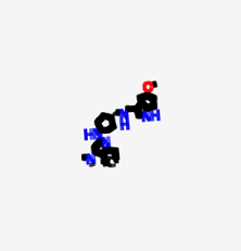 COc1ccc2[nH]cc(CNC[C@H]3CC[C@@H](Nc4cc(N(C)C)c5ccccc5n4)CC3)c2c1